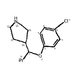 CC(C)C(Oc1ccc(Cl)cc1)C1CCNC1